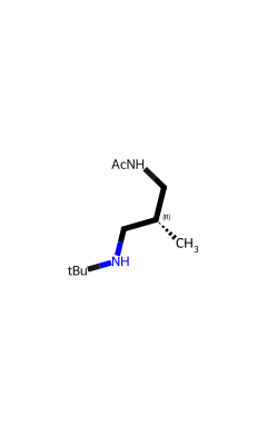 CC(=O)NC[C@H](C)CNC(C)(C)C